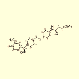 COCCC(=O)N[C@H]1CC[C@H](CCN2CCN(c3noc4cc(F)c(C)cc34)CC2)CC1